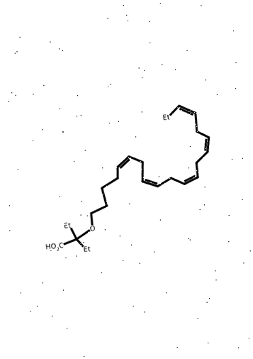 CC/C=C\C/C=C\C/C=C\C/C=C\C/C=C\CCCCOC(CC)(CC)C(=O)O